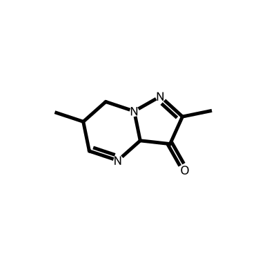 CC1=NN2CC(C)C=NC2C1=O